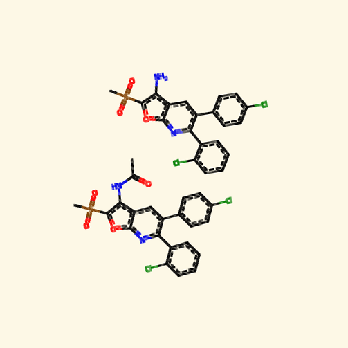 CC(=O)Nc1c(S(C)(=O)=O)oc2nc(-c3ccccc3Cl)c(-c3ccc(Cl)cc3)cc12.CS(=O)(=O)c1oc2nc(-c3ccccc3Cl)c(-c3ccc(Cl)cc3)cc2c1N